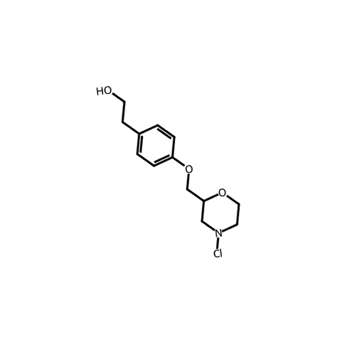 OCCc1ccc(OCC2CN(Cl)CCO2)cc1